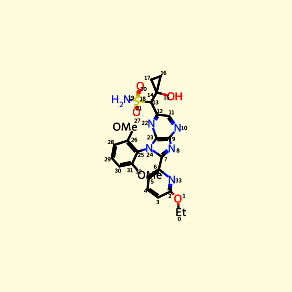 CCOc1cccc(-c2nc3ncc(C(C4(O)CC4)S(N)(=O)=O)nc3n2-c2c(OC)cccc2OC)n1